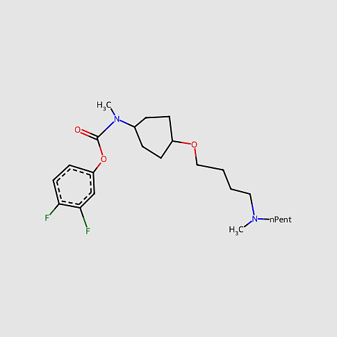 CCCCCN(C)CCCCOC1CCC(N(C)C(=O)Oc2ccc(F)c(F)c2)CC1